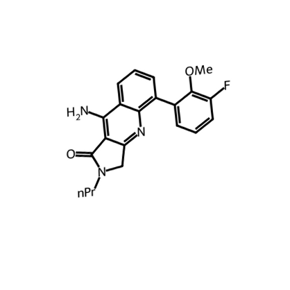 CCCN1Cc2nc3c(-c4cccc(F)c4OC)cccc3c(N)c2C1=O